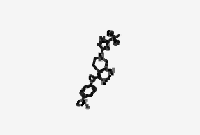 CS(=O)(=O)c1ncc(N2CCc3c(ncnc3Oc3ccc(C(F)(F)F)cc3)C2)s1